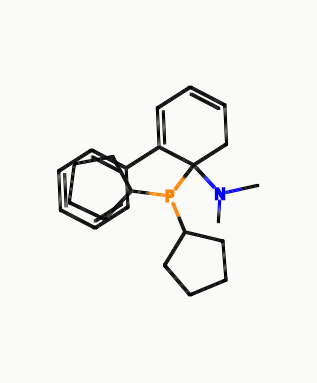 CN(C)C1(P(C2CCCC2)C2CCCC2)CC=CC=C1c1ccccc1